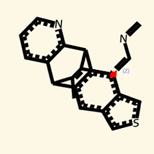 C=N/C=N\C1=C(C)C2c3cc4cscc4cc3C1c1ncccc12